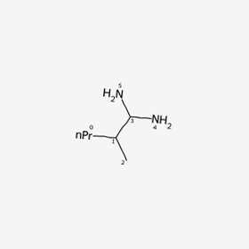 CCCC(C)C(N)N